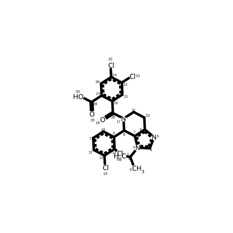 CC(C)n1cnc2c1C(c1cccc(Cl)c1Cl)N(C(=O)c1cc(Cl)c(Cl)cc1C(=O)O)CC2